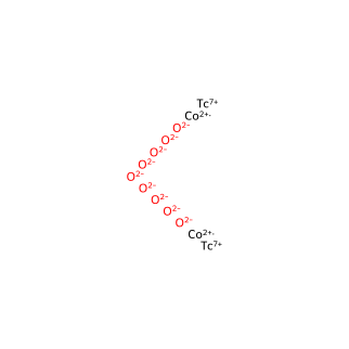 [Co+2].[Co+2].[O-2].[O-2].[O-2].[O-2].[O-2].[O-2].[O-2].[O-2].[O-2].[Tc+7].[Tc+7]